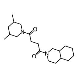 CC1CC(C)CN(C(=O)CCC(=O)N2CCC3CCCCC3C2)C1